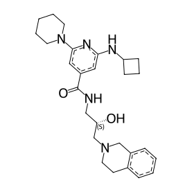 O=C(NC[C@H](O)CN1CCc2ccccc2C1)c1cc(NC2CCC2)nc(N2CCCCC2)c1